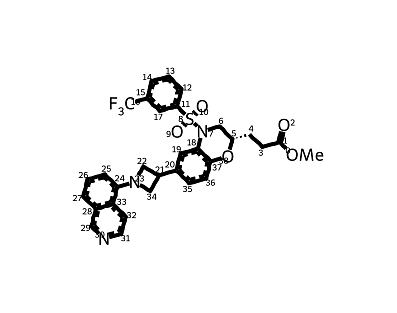 COC(=O)CC[C@H]1CN(S(=O)(=O)c2cccc(C(F)(F)F)c2)c2cc(C3CN(c4cccc5cnccc45)C3)ccc2O1